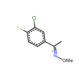 CO/N=C(\C)c1ccc(F)c(Cl)c1